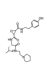 CC(C)C[C@H](NC(=O)C1OC1C(=O)NCCc1ccc(O)cc1)C(=O)NCCN1CCCCC1